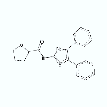 O=C(Nc1nc(-c2ccccc2)c(-c2ccccc2)s1)C1CCCO1